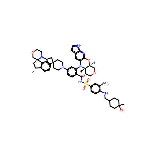 C[C@@H]1C[C@]2(COCCN2C2CC3(CCN(c4ccc(C(=O)NS(=O)(=O)c5ccc(NCC6CCC(C)(O)CC6)c([N+](=O)[O-])c5)c(N5c6cc7cc[nH]c7nc6O[C@H]6COCC[C@@H]65)c4)CC3)C2)c2ccccc21